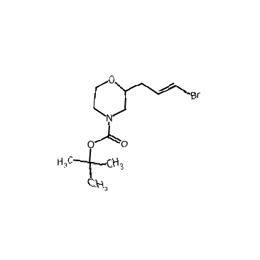 CC(C)(C)OC(=O)N1CCOC(CC=CBr)C1